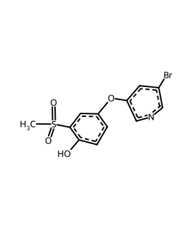 CS(=O)(=O)c1cc(Oc2cncc(Br)c2)ccc1O